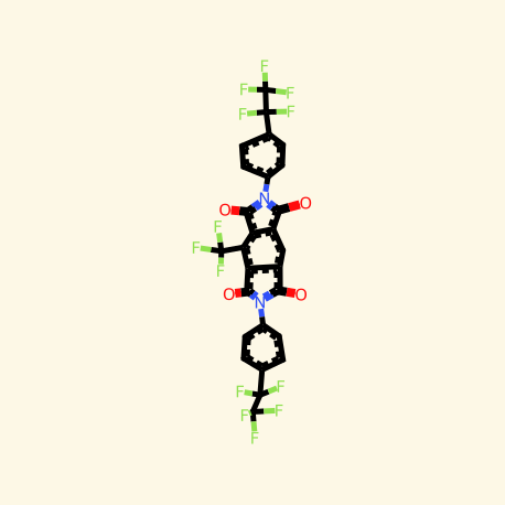 O=c1c2cc3c(=O)n(-c4ccc(C(F)(F)C(F)(F)F)cc4)c(=O)c3c(C(F)(F)F)c2c(=O)n1-c1ccc(C(F)(F)C(F)(F)F)cc1